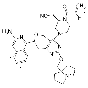 C=C(F)C(=O)N1CCN(c2nc(OCC34CCCN3CCC4)nc3c2COC(c2nc(N)cc4ccccc24)C3)C[C@H]1CC#N